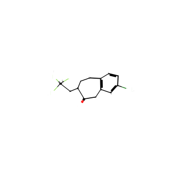 O=C1Cc2cc(Cl)ccc2CCC1CC(F)(F)F